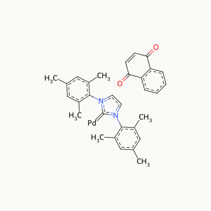 Cc1cc(C)c(-n2ccn(-c3c(C)cc(C)cc3C)[c]2=[Pd])c(C)c1.O=C1C=CC(=O)c2ccccc21